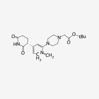 C=N/C(=C\C(=C/C)[C@H]1CCC(=O)NC1=O)N1CCN(CC(=O)OC(C)(C)C)CC1